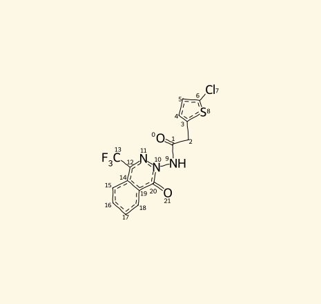 O=C(Cc1ccc(Cl)s1)Nn1nc(C(F)(F)F)c2ccccc2c1=O